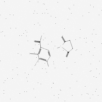 O=C(O)c1ccc(I)c(I)c1I.O=C1CCC(=O)N1O